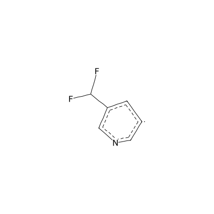 FC(F)c1c[c]cnc1